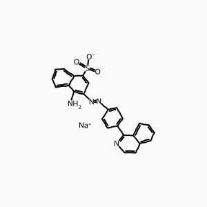 Nc1c(N=Nc2ccc(-c3nccc4ccccc34)cc2)cc(S(=O)(=O)[O-])c2ccccc12.[Na+]